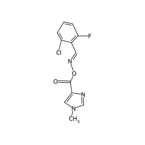 Cn1cnc(C(=O)ON=Cc2c(F)cccc2Cl)c1